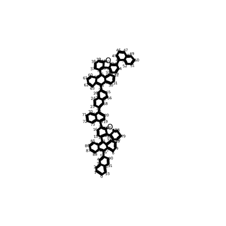 c1ccc2cc(-c3c4ccccc4c(-c4ccc(-c5ccc(-c6ccc7cc(-c8c9ccccc9c(-c9cccc%10oc%11c(-c%12cccc%13ccccc%12%13)cccc%11c9%10)c9ccccc89)ccc7c6)c6ccccc56)c5oc6ccccc6c45)c4ccccc34)ccc2c1